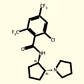 O=C(N[C@@H]1CCC[C@H]1N1CCCC1)c1c(Cl)cc(C(F)(F)F)cc1C(F)(F)F